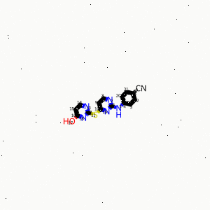 N#Cc1ccc(Nc2nccc(Sc3nccc(O)n3)n2)cc1